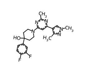 Cc1nc(-c2cn(C)nc2C)cc(N2CCC(O)(c3ccc(F)c(F)c3)CC2)n1